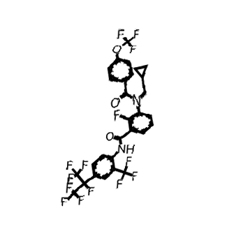 O=C(Nc1ccc(C(F)(C(F)(F)F)C(F)(F)F)cc1C(F)(F)F)c1cccc(N(CC2CC2)C(=O)c2ccc(OC(F)(F)F)cc2)c1F